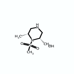 C[C@@H]1CNC[C@H](C)N1S(C)(=O)=O.Cl